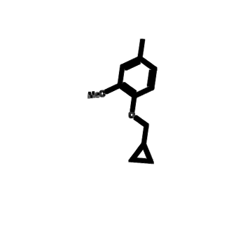 COc1cc(C)ccc1OCC1CC1